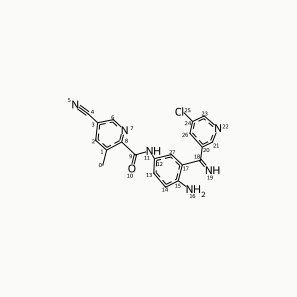 Cc1cc(C#N)cnc1C(=O)Nc1ccc(N)c(C(=N)c2cncc(Cl)c2)c1